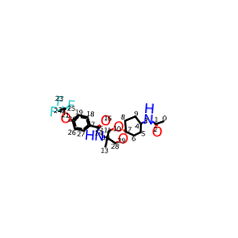 CC(=O)NC1CCC2(CC1)OCC(C)(NC(=O)c1ccc(OC(F)(F)F)cc1)CO2